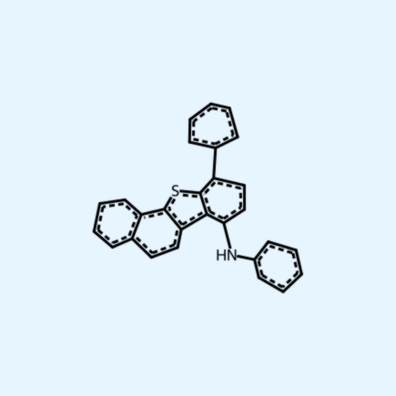 c1ccc(Nc2ccc(-c3ccccc3)c3sc4c5ccccc5ccc4c23)cc1